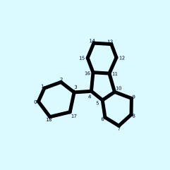 C1CC[C](C2C3CCCCC3C3CCCCC32)CC1